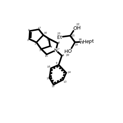 C1=CC2C3CC(CN(Cc4ccccc4)C3)C2C1.CCCCCCCC(O)C(O)CC